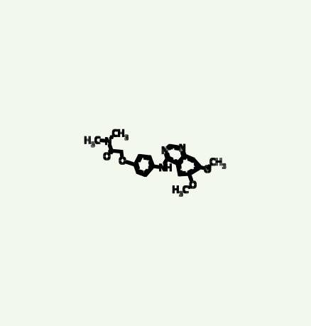 COc1cc2ncnc(Nc3ccc(OCC(=O)N(C)C)cc3)c2cc1OC